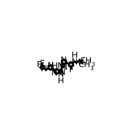 CN(C)CCNc1cc(F)cc(-c2cncc3[nH]c(-c4n[nH]c5cnc(-c6cncc(CN7CCC(F)(F)C7)c6)cc45)nc23)c1